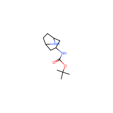 CC(C)(C)OC(=O)NC1CC2CCC(C1)N2